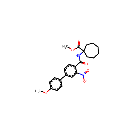 COC(=O)C1(NC(=O)c2ccc(-c3ccc(OC)cc3)cc2[N+](=O)[O-])CCCCCC1